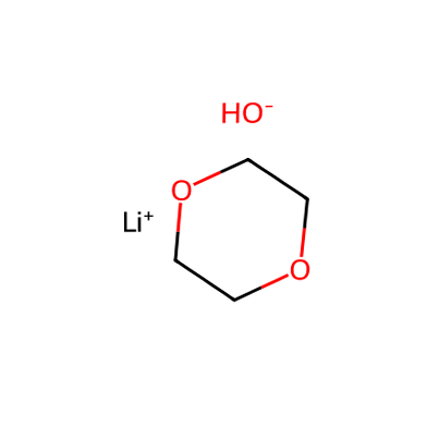 C1COCCO1.[Li+].[OH-]